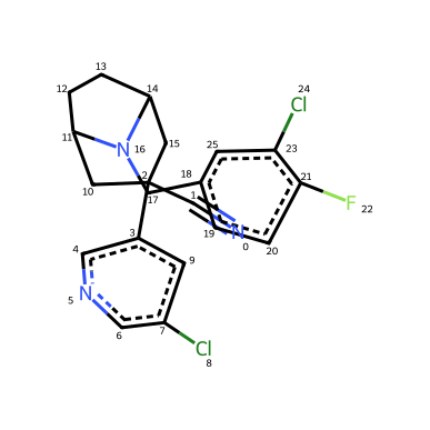 N#CC1(c2cncc(Cl)c2)CC2CCC(C1)N2Cc1ccc(F)c(Cl)c1